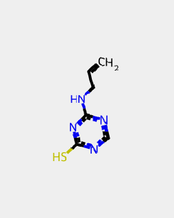 C=CCNc1ncnc(S)n1